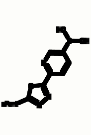 CCCCCc1nnc(-c2ccc(B(O)O)cn2)o1